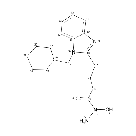 NN(O)C(=O)CCCc1nc2ccccc2n1CC1CCCCC1